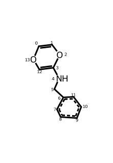 C1=COC(NCc2ccccc2)=CO1